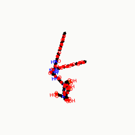 CCCOCCOCCOCCOCCOCCOCCC(=O)NCCCC[C@@H](NC(=O)CCOCCOCCOCCOCCOCCOCCC)C(=O)NC(CCCCNC(=O)CCCCCN1/C(=C/C=C/C=C/C2=[N+](CCCCS(=O)(=O)O)c3ccc(S(=O)(=O)O)cc3C2(C)CCCCS(=O)(=O)O)C(C)(C)c2cc(S(=O)(=O)O)ccc21)C(N)=O